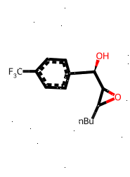 CCCCC1OC1[C@H](O)c1ccc(C(F)(F)F)cc1